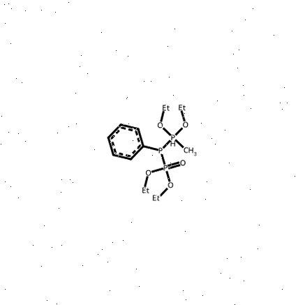 CCOP(=O)(OCC)P(c1ccccc1)[PH](C)(OCC)OCC